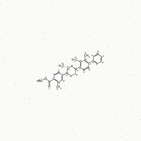 CCCCOC(=O)c1cnc(N2CCN(c3nnc(-c4cccnc4)c(C)c3C)C[C@H]2C)cc1C(F)(F)F